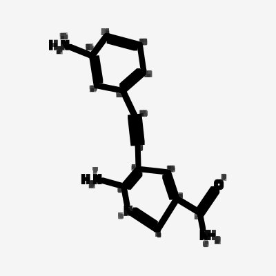 NC(=O)c1cnc(N)c(C#Cc2cccc(N)c2)c1